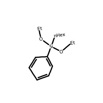 CCCCCC[Si](OCC)(OCC)c1ccccc1